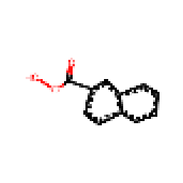 O=C(OO)c1ccc2ccccc2c1